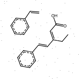 C=Cc1ccccc1.CCC(C=Cc1ccccc1)=CC(=O)O